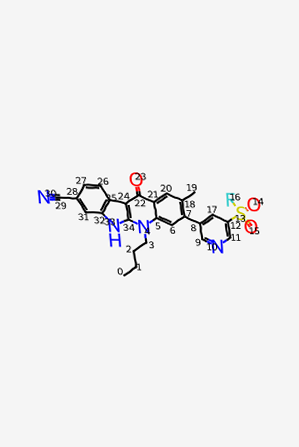 CCCCn1c2cc(-c3cncc(S(=O)(=O)F)c3)c(C)cc2c(=O)c2c3ccc(C#N)cc3[nH]c21